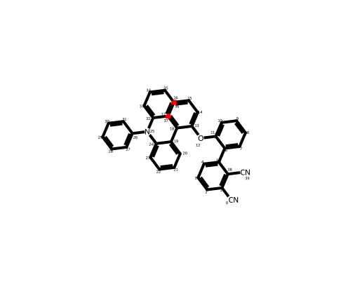 N#Cc1cccc(-c2ccccc2Oc2ccccc2-c2ccccc2N(c2ccccc2)c2ccccc2)c1C#N